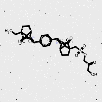 CCC12CCC(/C(=C\c3ccc(/C=C4/C(=O)C5(CS(=O)(=O)OCC(=O)CO)CCC4C5(C)C)cc3)C1=O)C2(C)C